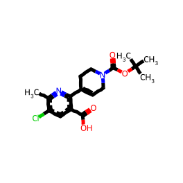 Cc1nc(C2=CCN(C(=O)OC(C)(C)C)CC2)c(C(=O)O)cc1Cl